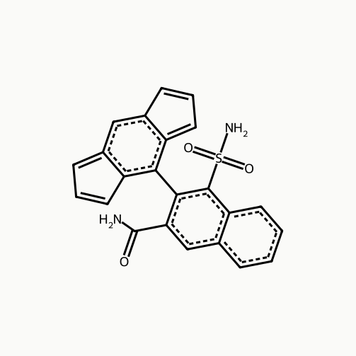 NC(=O)c1cc2ccccc2c(S(N)(=O)=O)c1-c1c2c(cc3c1=CC=C3)=CC=C2